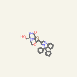 O=C1NC[C@H](CO)N2CCOc3c(-c4cnn(C(c5ccccc5)(c5ccccc5)c5ccccc5)c4)sc1c32